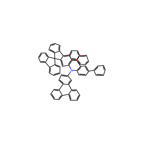 c1ccc(-c2ccc(N(c3ccc4c5ccccc5c5ccccc5c4c3)c3cc4c(cc3-c3ccccc3)-c3ccccc3C43c4ccccc4-c4ccccc43)c(-c3ccccc3)c2)cc1